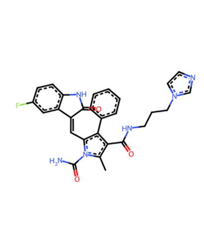 Cc1c(C(=O)NCCCn2ccnc2)c(-c2ccccc2)c(C=C2C(=O)Nc3ccc(F)cc32)n1C(N)=O